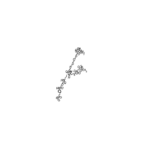 CC(=O)C1(C(=O)CCN2C(=O)CC(SCCC(=O)N[C@H](CCCCNC(=O)COCC(=O)Nc3ccc(CCC(=O)N4CCC4=O)cc3)C(=O)NCCOCCOCCOCCOCCC(=O)C(C(C)=O)(C(C)=O)C(C)=O)C2=O)SS1